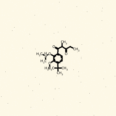 CCC(=O)C(C)C(=O)c1ccc(C(C)(C)C)c(OC)c1O[SiH](C)C